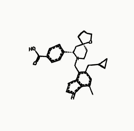 Cc1cc(CC2CC2)c(CN2CC[C@@]3(CCCO3)C[C@H]2c2ccc(C(=O)O)cc2)c2cc[nH]c12